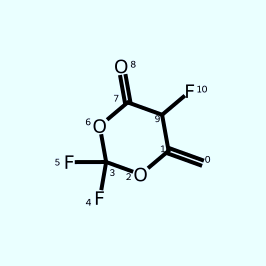 C=C1OC(F)(F)OC(=O)C1F